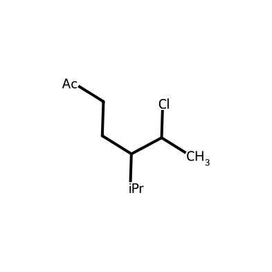 CC(=O)CCC(C(C)C)C(C)Cl